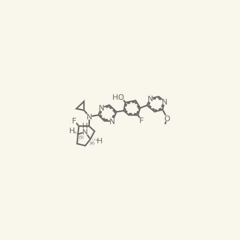 COc1cc(-c2cc(O)c(-c3cnc(N(C4CC4)C4C[C@H]5CC[C@H](N5)C4F)cn3)cc2F)ncn1